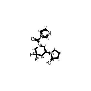 O=C1CCCN1C1CN(C(=O)n2ccnc2)CC(F)(F)C1